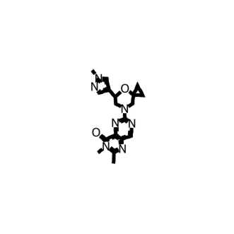 Cc1nc2cnc(N3CC(c4cnn(C)c4)OC4(CC4)C3)nc2c(=O)n1C